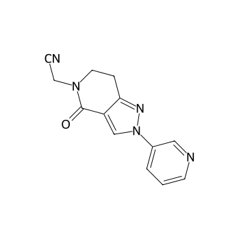 N#CCN1CCc2nn(-c3cccnc3)cc2C1=O